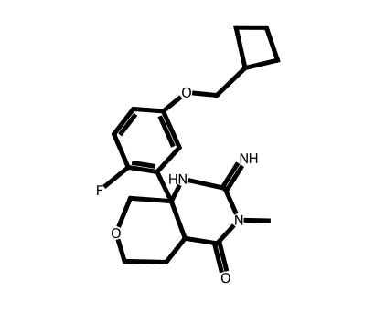 CN1C(=N)NC2(c3cc(OCC4CCC4)ccc3F)COCCC2C1=O